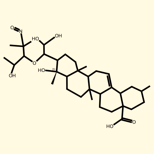 CC1CCC2(C(=O)O)CCC3C(=CCC4C3(C)CCC3C4(C)CCC(C(OC(C(C)O)C(C)(C)N=O)C(O)O)[C@@]3(C)O)C2C1